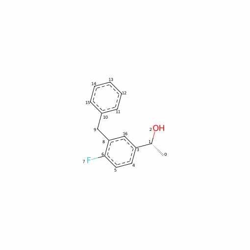 C[C@@H](O)c1ccc(F)c(Cc2ccccc2)c1